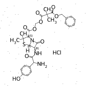 CC(C)(C(=O)OCOC(=O)[C@@H]1N2C(=O)[C@@H](NC(=O)C(N)c3ccc(O)cc3)[C@H]2SC1(C)C)C(=O)OCc1ccccc1.Cl